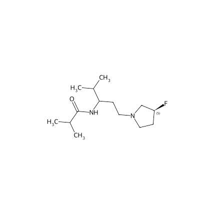 CC(C)C(=O)NC(CCN1CC[C@H](F)C1)C(C)C